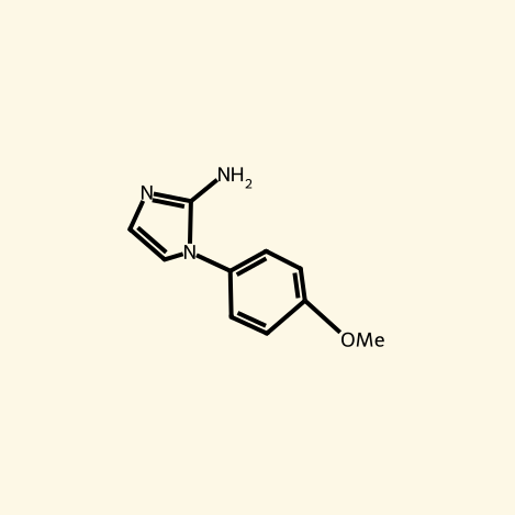 COc1ccc(-n2ccnc2N)cc1